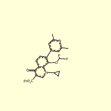 CCOC(=O)c1cn(C2CC2)c2c(OC(F)F)c(-c3cc(C)nc(C)c3)ccc2c1=O